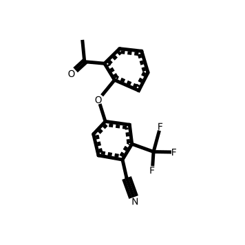 CC(=O)c1ccccc1Oc1ccc(C#N)c(C(F)(F)F)c1